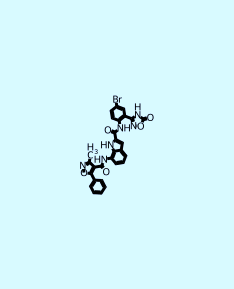 Cc1noc(-c2ccccc2)c1C(=O)Nc1cccc2cc(C(=O)Nc3ccc(Br)cc3-c3noc(=O)[nH]3)[nH]c12